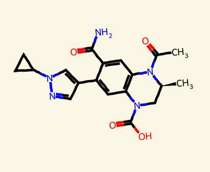 CC(=O)N1c2cc(C(N)=O)c(-c3cnn(C4CC4)c3)cc2N(C(=O)O)C[C@@H]1C